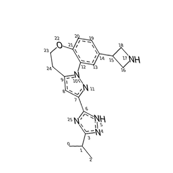 CC(C)c1n[nH]c(-c2cc3n(n2)-c2cc(C4CNC4)ccc2OCC3)n1